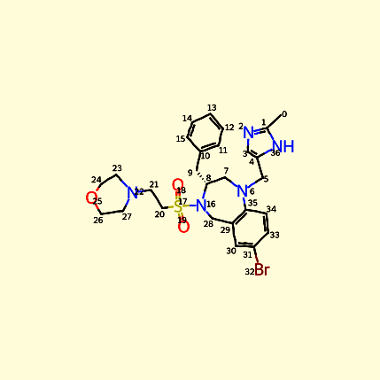 Cc1ncc(CN2C[C@@H](Cc3ccccc3)N(S(=O)(=O)CCN3CCOCC3)Cc3cc(Br)ccc32)[nH]1